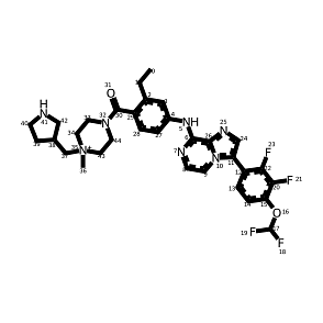 CCc1cc(Nc2nccn3c(-c4ccc(OC(F)F)c(F)c4F)cnc23)ccc1C(=O)N1CC[N+](C)(CC2CCNC2)CC1